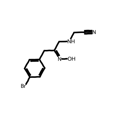 N#CCNCC(Cc1ccc(Br)cc1)=NO